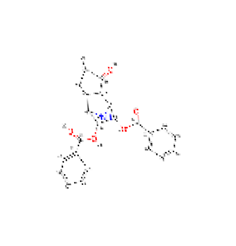 CC1CC2C3NC(C(OC(=O)c4ccccc4)C3OC(=O)c3ccccc3)C2C1=O